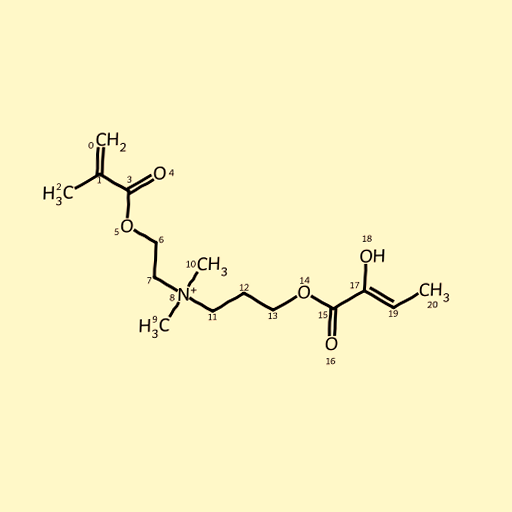 C=C(C)C(=O)OCC[N+](C)(C)CCCOC(=O)C(O)=CC